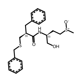 C[S+]([O-])CC[C@@H](CO)NC(=O)[C@@H](CSCc1ccccc1)Cc1ccccc1